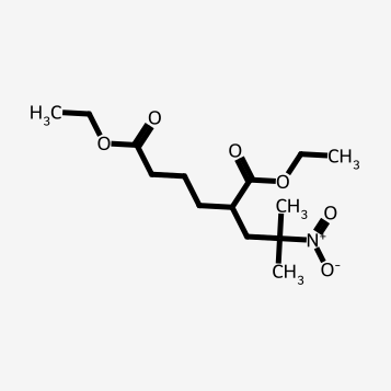 CCOC(=O)CCCC(CC(C)(C)[N+](=O)[O-])C(=O)OCC